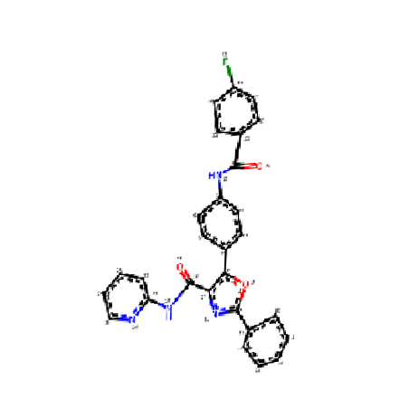 O=C(Nc1ccc(-c2oc(-c3ccccc3)nc2C(=O)Nc2ccccn2)cc1)c1ccc(F)cc1